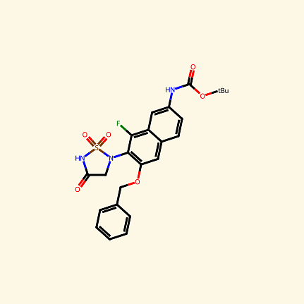 CC(C)(C)OC(=O)Nc1ccc2cc(OCc3ccccc3)c(N3CC(=O)NS3(=O)=O)c(F)c2c1